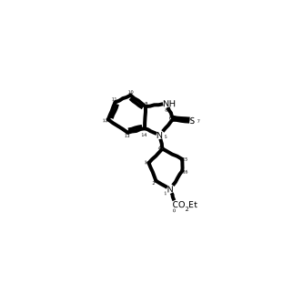 CCOC(=O)N1CCC(n2c(=S)[nH]c3ccccc32)CC1